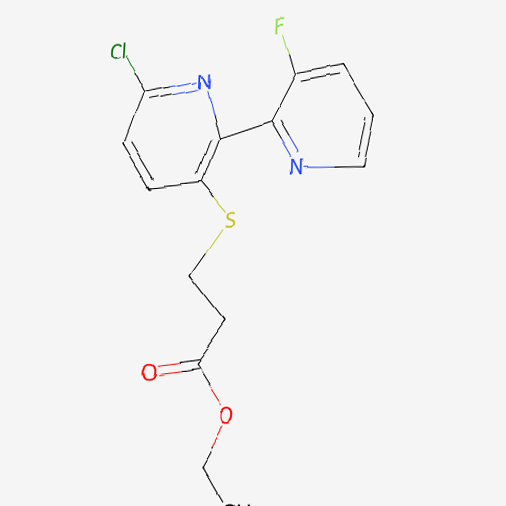 CCOC(=O)CCSc1ccc(Cl)nc1-c1ncccc1F